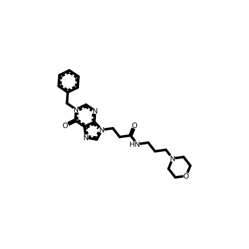 O=C(CCn1cnc2c(=O)n(Cc3ccccc3)cnc21)NCCCN1CCOCC1